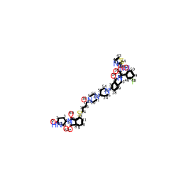 O=C1CCC(N2C(=O)c3cccc(SCCCC(=O)N4CCN(C5CCN(c6ccc7c(c6)C(=O)N(C(C(=O)Nc6nccs6)c6cc(F)ccc6O)C7)CC5)CC4)c3C2=O)C(=O)N1